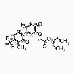 CCN(CC)OC(=O)COc1cc(-n2ncc(C(F)(F)F)c(C)c2=O)c(F)cc1Cl